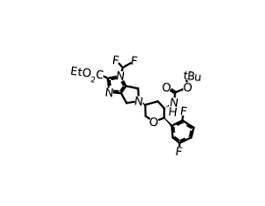 CCOC(=O)c1nc2c(n1C(F)F)CN([C@H]1CO[C@H](c3cc(F)ccc3F)[C@@H](NC(=O)OC(C)(C)C)C1)C2